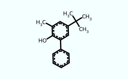 Cc1cc(C(C)(C)C)cc(-c2ccccc2)c1O